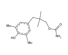 CC(C)(COC(N)=O)Cc1cc(C(C)(C)C)c(O)c(C(C)(C)C)c1